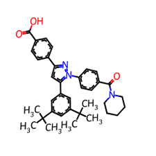 CC(C)(C)c1cc(-c2cc(-c3ccc(C(=O)O)cc3)nn2-c2ccc(C(=O)N3CCCCC3)cc2)cc(C(C)(C)C)c1